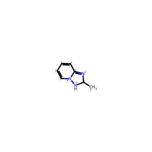 CC1N=C2C=CC=CN2N1